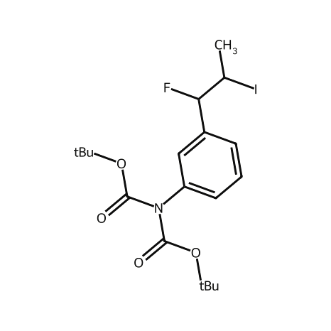 CC(I)C(F)c1cccc(N(C(=O)OC(C)(C)C)C(=O)OC(C)(C)C)c1